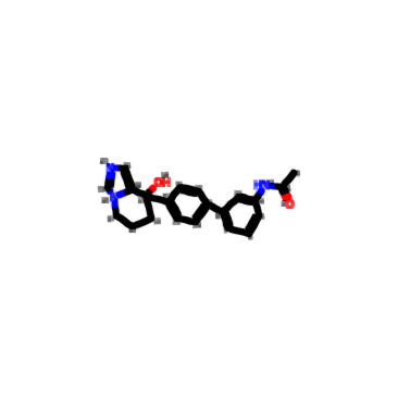 CC(=O)Nc1cccc(-c2ccc(C3(O)CCCn4cncc43)cc2)c1